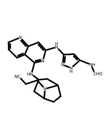 N#CCCN1C2CCC1CC(Nc1nc(Nc3cc(NC=O)[nH]n3)cc3ncccc13)C2